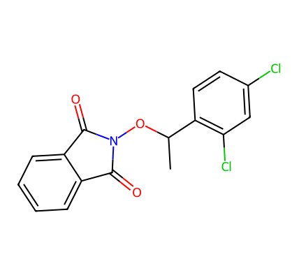 CC(ON1C(=O)c2ccccc2C1=O)c1ccc(Cl)cc1Cl